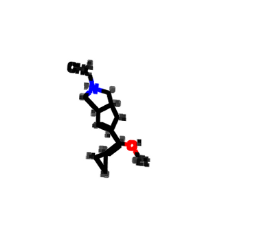 CCOC(C1=CC2CN(C=O)CC2C1)=C1CC1